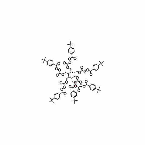 CC(C)(C)c1ccc(C(=O)OOC(=O)OCCC(COC(=O)OOC(=O)c2ccc(C(C)(C)C)cc2)C(COC(=O)OOC(=O)c2ccc(C(C)(C)C)cc2)C(COC(=O)OOC(=O)c2ccc(C(C)(C)C)cc2)C(CCOC(=O)OOC(=O)c2ccc(C(C)(C)C)cc2)COC(=O)OOC(=O)c2ccc(C(C)(C)C)cc2)cc1